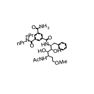 CCCN(CCC)C(=O)c1cc(C(N)=O)cc(C(=O)N[C@@H](Cc2ccccc2)[C@@H](O)[C@H](O)[C@@H](CCOC)NC(C)=O)c1